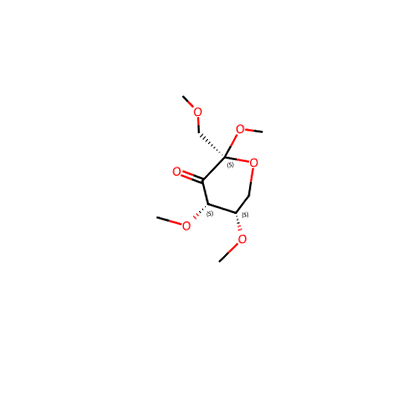 COC[C@]1(OC)OC[C@H](OC)[C@H](OC)C1=O